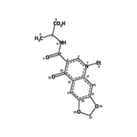 CCn1cc(C(=O)NC(C)C(=O)O)c(=O)c2cc3c(cc21)OCO3